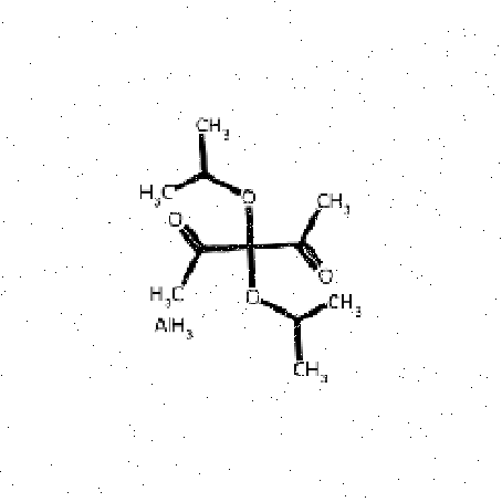 CC(=O)C(OC(C)C)(OC(C)C)C(C)=O.[AlH3]